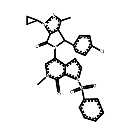 Cc1nn(C2CC2)c2c1C(c1ccc(Cl)cc1)N(c1cn(C)c(=O)c3c1ccn3S(=O)(=O)c1ccccc1)C2=O